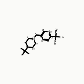 CC(C)(C)C1CCN(Cc2ccc(C(F)(F)F)nc2)CC1